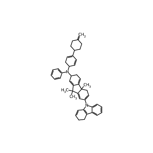 C=C1CCC(C2=CCC(N(c3ccccc3)C3C=C4C(=CC3)C3(C)CC=C(n5c6c(c7ccccc75)CCC=C6)C=C3C4(C)C)C=C2)CC1